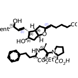 CCCCC[C@H](O)/C=C/[C@@H]1[C@H]2C/C(=C/CCCC(=O)O)O[C@H]2C[C@H]1O.CCOC(=O)[C@H](CCc1ccccc1)N[C@@H](C)C(=O)N1CCC[C@H]1C(=O)O